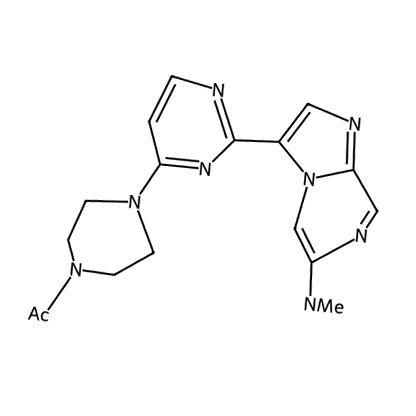 CNc1cn2c(-c3nccc(N4CCN(C(C)=O)CC4)n3)cnc2cn1